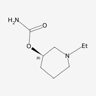 CCN1CCC[C@@H](OC(N)=O)C1